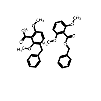 COc1ccc(Cc2ccccc2)c(OC)c1C(=O)O.COc1cccc(OC)c1C(=O)OCc1ccccc1